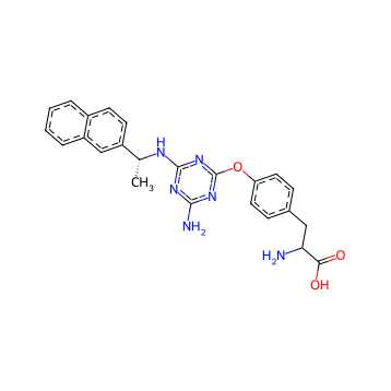 C[C@@H](Nc1nc(N)nc(Oc2ccc(CC(N)C(=O)O)cc2)n1)c1ccc2ccccc2c1